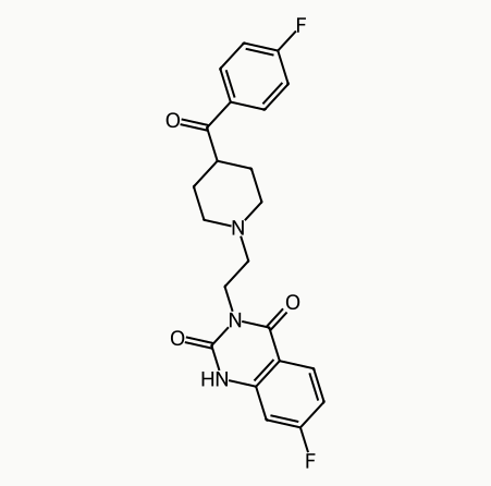 O=C(c1ccc(F)cc1)C1CCN(CCn2c(=O)[nH]c3cc(F)ccc3c2=O)CC1